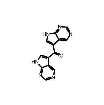 O=C(c1c[nH]c2ncncc12)c1c[nH]c2ncncc12